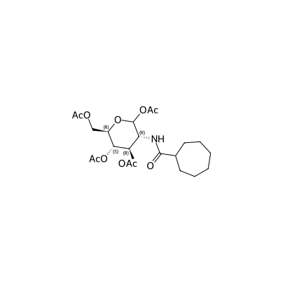 CC(=O)OC[C@H]1OC(OC(C)=O)[C@H](NC(=O)C2CCCCCC2)[C@@H](OC(C)=O)[C@@H]1OC(C)=O